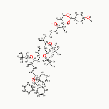 COc1ccc(C2OC[C@H](C)[C@@H]([C@@H](C)[C@H](O)CCCC[C@H](C)[C@@H](O[Si](C)(C)C(C)(C)C)[C@@H](C)/C=C\[C@H](C[C@H](O[Si](C)(C)C(C)(C)C)[C@H](C)/C=C/COC(c3ccccc3)(c3ccccc3)c3ccccc3)O[Si](C)(C)C(C)(C)C)O2)cc1